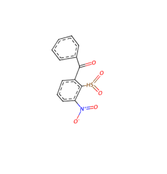 O=C(c1ccccc1)c1cccc([N+](=O)[O-])c1[SH](=O)=O